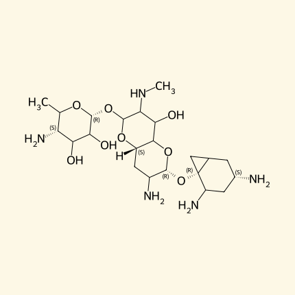 CNC1C(O[C@H]2OC(C)[C@@H](N)C(O)C2O)O[C@H]2CC(N)[C@@H](O[C@]34CC3C[C@H](N)CC4N)OC2C1O